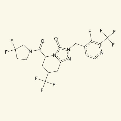 O=C(C1CC(C(F)(F)F)Cc2nn(Cc3ccnc(C(F)(F)F)c3F)c(=O)n21)N1CCC(F)(F)C1